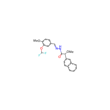 COc1ccc(/C=N/NC(=O)C(OC)c2ccc3ccccc3c2)cc1OC(F)F